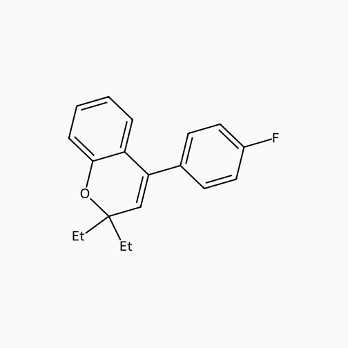 CCC1(CC)C=C(c2ccc(F)cc2)c2ccccc2O1